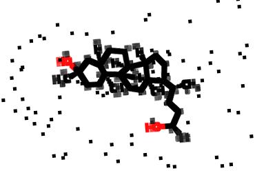 CC[C@@H](O)CC[C@@H](C)C1CC[C@H]2[C@@H]3CC[C@@H]4C[C@@](C)(O)CC[C@]4(C)[C@H]3CC[C@]12C